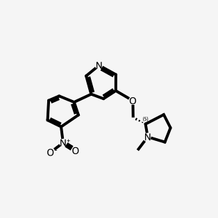 CN1CCC[C@H]1COc1cncc(-c2cccc([N+](=O)[O-])c2)c1